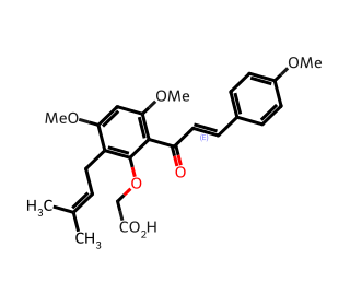 COc1ccc(/C=C/C(=O)c2c(OC)cc(OC)c(CC=C(C)C)c2OCC(=O)O)cc1